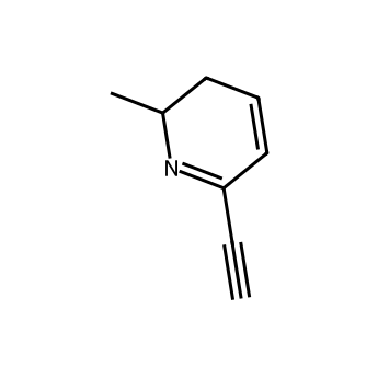 C#CC1=NC(C)CC=C1